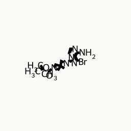 CC(C)(C)OC(=O)N1CC2(C1)CN(c1nc(Br)c3c(N)nccn13)C2